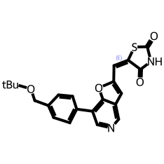 CC(C)(C)OCc1ccc(-c2cncc3cc(/C=C4/SC(=O)NC4=O)oc23)cc1